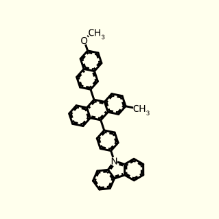 COc1ccc2cc(-c3c4ccccc4c(-c4ccc(-n5c6ccccc6c6ccccc65)cc4)c4cc(C)ccc34)ccc2c1